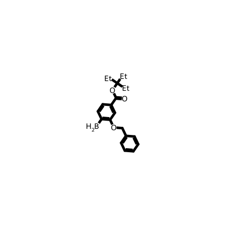 Bc1ccc(C(=O)OC(CC)(CC)CC)cc1OCc1ccccc1